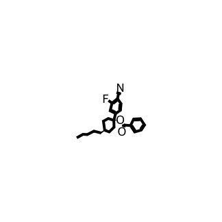 CCCCC[C@H]1CC[C@@](OC(=O)c2ccccc2)(c2ccc(C#N)c(F)c2)CC1